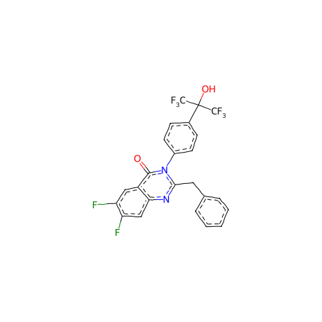 O=c1c2cc(F)c(F)cc2nc(Cc2ccccc2)n1-c1ccc(C(O)(C(F)(F)F)C(F)(F)F)cc1